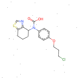 O=C(O)N(c1ccc(OCCCCl)cc1)C1CCCc2scnc21